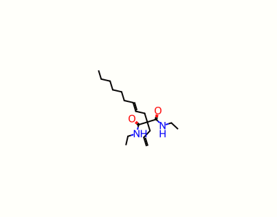 C=CCC(C/C=C/CCCCCC)(C(=O)NCC)C(=O)NCC